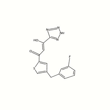 O=C(C=C(O)c1nn[nH]n1)c1cc(Cc2cccc(F)c2)cs1